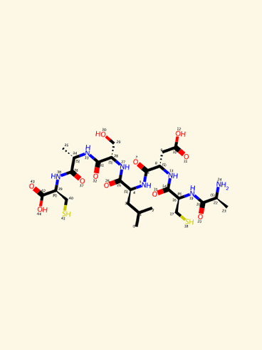 CC(C)C[C@H](NC(=O)[C@H](CC(=O)O)NC(=O)[C@H](CS)NC(=O)[C@H](C)N)C(=O)N[C@@H](CO)C(=O)N[C@@H](C)C(=O)N[C@@H](CS)C(=O)O